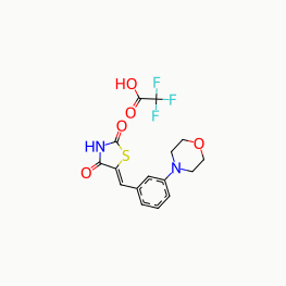 O=C(O)C(F)(F)F.O=C1NC(=O)C(=Cc2cccc(N3CCOCC3)c2)S1